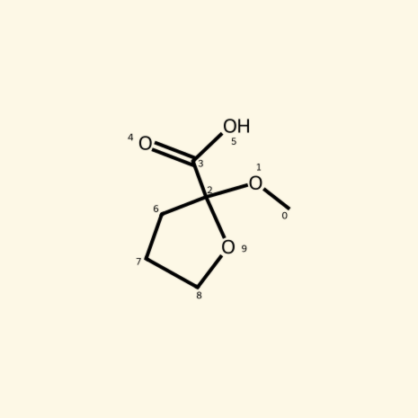 COC1(C(=O)O)CCCO1